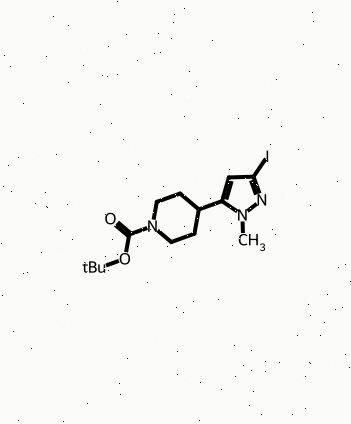 Cn1nc(I)cc1C1CCN(C(=O)OC(C)(C)C)CC1